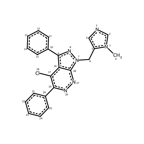 Cn1cncc1Cn1nc(-c2ccccc2)c2c(Cl)c(-c3ccccc3)nnc21